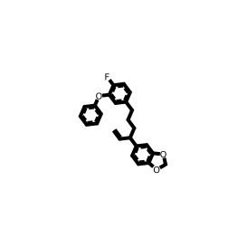 C=CC(CCCc1ccc(F)c(Oc2ccccc2)c1)c1ccc2c(c1)OCO2